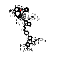 CCNC(=O)c1nnc(-c2cc(C(C)C)c(O)cc2O)n1-c1ccc(N2CCN(C(=O)CCC(=O)O[C@@H](C(=O)O[C@H]3C[C@@]4(O)[C@@H](OC(=O)c5ccccc5)[C@@H]5[C@]6(OC(C)=O)CO[C@@H]6C[C@H](O)[C@@]5(C)C(=O)[C@H](O)C(=C3C)C4(C)C)[C@@H](NC(=O)OC(C)(C)C)c3ccccc3)CC2)nc1